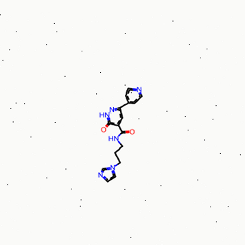 O=C(NCCCn1ccnc1)c1cc(-c2ccncc2)n[nH]c1=O